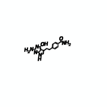 NC(=O)c1ccc(CCc2c[nH]c3nc(N)nc(O)c23)cc1